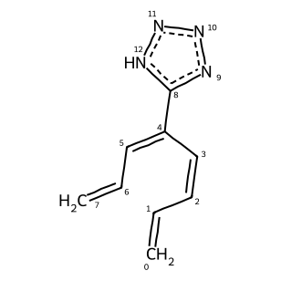 C=C/C=C\C(=C/C=C)c1nnn[nH]1